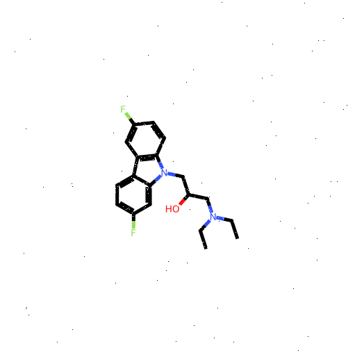 CCN(CC)CC(O)Cn1c2ccc(F)cc2c2ccc(F)cc21